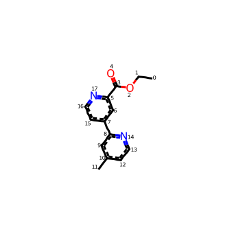 CCOC(=O)c1cc(-c2cc(C)ccn2)ccn1